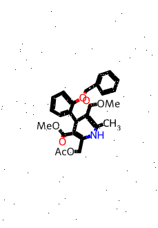 COC(=O)C1=C(C)NC(COC(C)=O)=C(C(=O)OC)C1c1ccccc1OCc1ccccc1